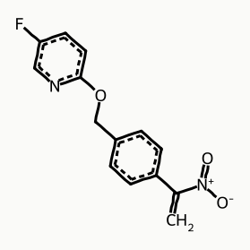 C=C(c1ccc(COc2ccc(F)cn2)cc1)[N+](=O)[O-]